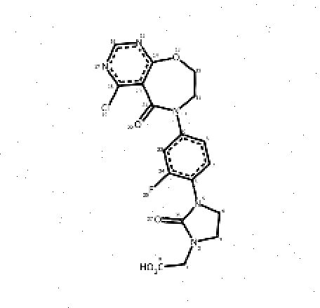 O=C(O)CN1CCN(c2ccc(N3CCOc4ncnc(Cl)c4C3=O)cc2F)C1=O